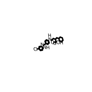 O=C(CC(CC1CCCCC1)C(=O)O)Nc1ccc(-c2nc3cc(Cl)ccc3[nH]2)cc1